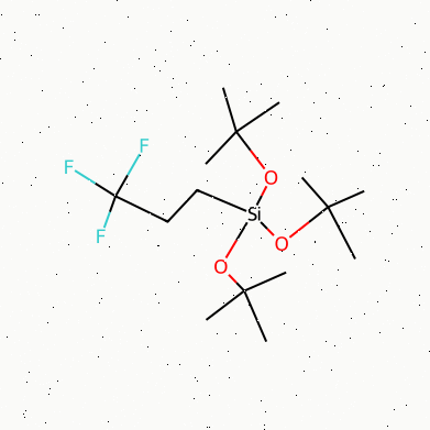 CC(C)(C)O[Si](CCC(F)(F)F)(OC(C)(C)C)OC(C)(C)C